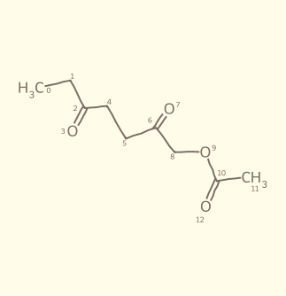 CCC(=O)CCC(=O)COC(C)=O